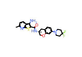 Cc1ccc2c(N)c(C(=O)N[C@H]3COc4cc(N5CCC(F)(F)CC5)ccc4C3)sc2n1